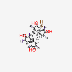 Oc1c(S)cc(C2(c3cc(I)c(O)c(I)c3)CCC(c3cc(I)c(O)c(I)c3)(c3ccc(I)c(O)c3I)CC2)cc1I